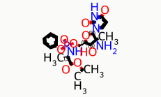 CC(C)OC(=O)[C@H](C)NP(=O)(OC[C@H]1O[C@@H](n2ccc(=O)[nH]c2=O)C(C)(N)[C@@H]1O)Oc1ccccc1